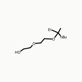 CCCCC(C)(CC)OCCOCCO